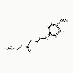 CCCCCCCCCCCCC(=O)CCCSc1ccc(OC)cc1